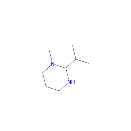 CC(C)C1NCCCN1C